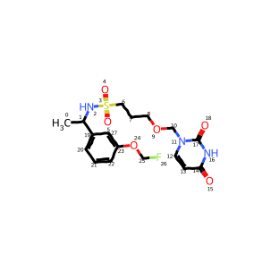 CC(NS(=O)(=O)CCCOCn1ccc(=O)[nH]c1=O)c1cccc(OCF)c1